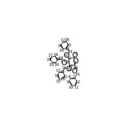 O=C1OC(COCc2ccccc2)[C@@H](OCc2ccccc2)[C@H](OCc2ccccc2)C1OCc1ccccc1